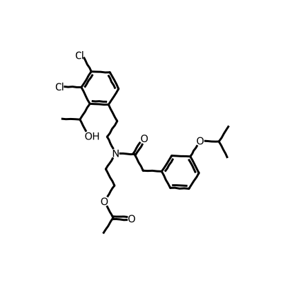 CC(=O)OCCN(CCc1ccc(Cl)c(Cl)c1C(C)O)C(=O)Cc1cccc(OC(C)C)c1